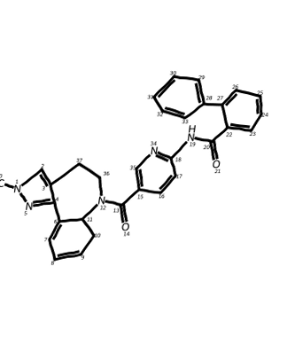 Cn1cc2c(n1)C1=CC=CCC1N(C(=O)c1ccc(NC(=O)c3ccccc3-c3ccccc3)nc1)CC2